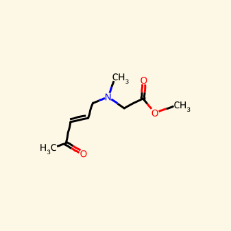 COC(=O)CN(C)C/C=C/C(C)=O